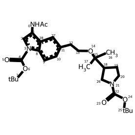 CC(=O)Nc1cn(C(=O)OC(C)(C)C)c2ccc(CCOC(C)(C)C3CCN(C(=O)OC(C)(C)C)C3)cc12